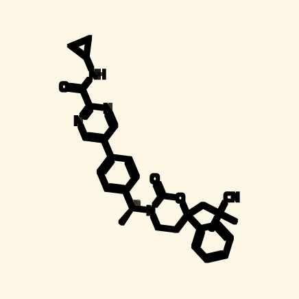 C[C@@H](c1ccc(-c2cnc(C(=O)NC3CC3)nc2)cc1)N1CCC(CC(C)(C)C#N)(c2ccccc2)OC1=O